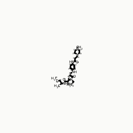 CCN1C(=O)[C@@H](CNc2ccc(NC(=O)CCN3CCN(C)CC3)cc2)SC1[C@H](N)C(=O)NC(C)COC